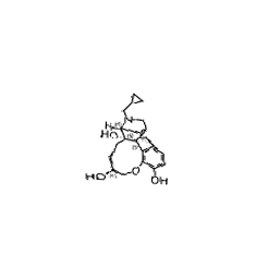 C[C@]12CCN(CC3CC3)[C@@H]3Cc4ccc(O)c(c41)OC[C@@H](O)CC[C@@]32O